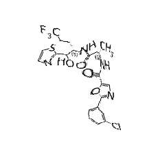 C[C@H](NC(=O)c1cnc(-c2cccc(Cl)c2)o1)C(=O)N[C@@H](CCC(F)(F)F)C(O)c1nccs1